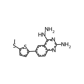 CSc1ccc(-c2ccc3nc(N)nc(NN)c3c2)s1